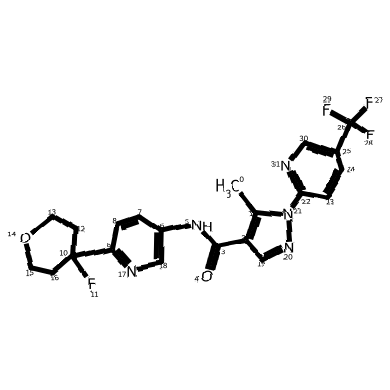 Cc1c(C(=O)Nc2ccc(C3(F)CCOCC3)nc2)cnn1-c1ccc(C(F)(F)F)cn1